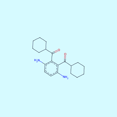 Nc1ccc(N)c(C(=O)C2CCCCC2)c1C(=O)C1CCCCC1